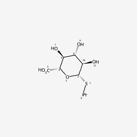 CC(C)S[C@@H]1O[C@H](C(=O)O)[C@@H](O)[C@H](O)[C@H]1O